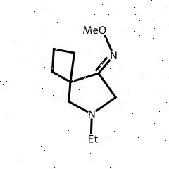 CCN1C/C(=N/OC)C2(CCC2)C1